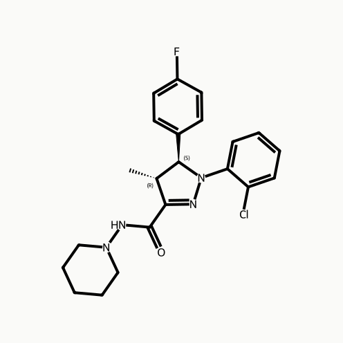 C[C@H]1C(C(=O)NN2CCCCC2)=NN(c2ccccc2Cl)[C@@H]1c1ccc(F)cc1